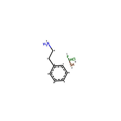 Cl.FS.NCCc1ccccc1